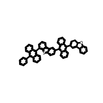 C1=C(c2c3ccccc3c(-c3ccc4sc5c(-c6c7ccccc7c(-c7ccccc7)c7ccccc67)cccc5c4c3)c3ccccc23)C=C2c3ccccc3OC2C1